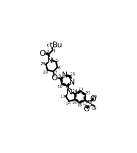 CC(C)(C)CC(=O)N1CCC(Oc2cc(N3CCc4cc(S(C)(=O)=O)ccc43)ncn2)CC1